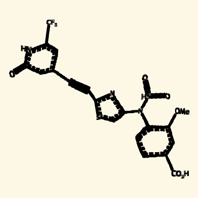 COc1cc(C(=O)O)ccc1N(c1csc(C#Cc2cc(C(F)(F)F)[nH]c(=O)c2)n1)[SH](=O)=O